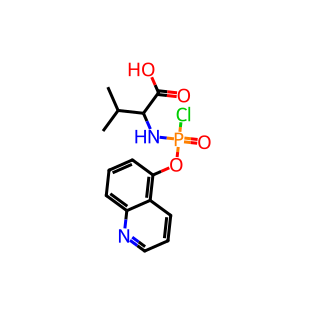 CC(C)C(NP(=O)(Cl)Oc1cccc2ncccc12)C(=O)O